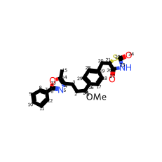 COC(CCc1nc(-c2ccccc2)oc1C)c1ccc(CC2SC(=O)NC2=O)cc1